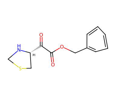 O=C(OCc1ccccc1)C(=O)[C@@H]1CSCN1